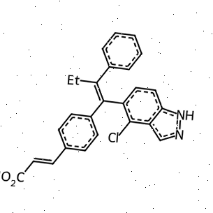 CCC(=C(c1ccc(C=CC(=O)O)cc1)c1ccc2[nH]ncc2c1Cl)c1ccccc1